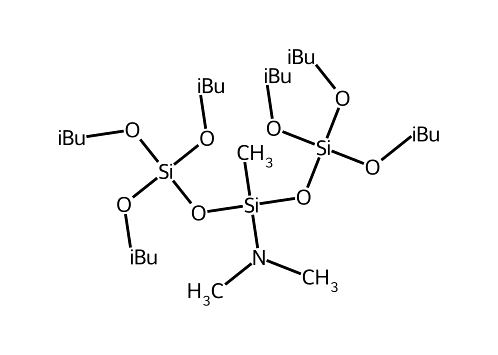 CCC(C)O[Si](OC(C)CC)(OC(C)CC)O[Si](C)(O[Si](OC(C)CC)(OC(C)CC)OC(C)CC)N(C)C